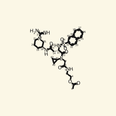 CC(=O)OCCNC(=O)CN(C(=O)[C@H](CC(=O)N[C@H]1CCCN(C(=N)N)C1)NS(=O)(=O)c1ccc2ccccc2c1)C1CC1